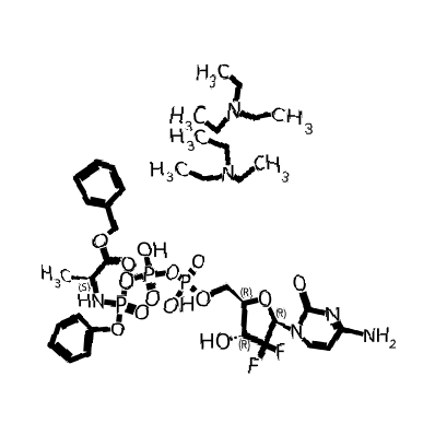 CCN(CC)CC.CCN(CC)CC.C[C@H](NP(=O)(Oc1ccccc1)OP(=O)(O)OP(=O)(O)OC[C@H]1O[C@@H](n2ccc(N)nc2=O)C(F)(F)[C@@H]1O)C(=O)OCc1ccccc1